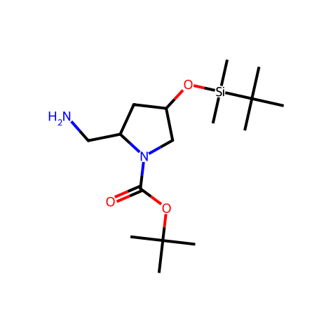 CC(C)(C)OC(=O)N1CC(O[Si](C)(C)C(C)(C)C)CC1CN